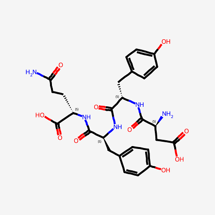 NC(=O)CC[C@H](NC(=O)[C@H](Cc1ccc(O)cc1)NC(=O)[C@H](Cc1ccc(O)cc1)NC(=O)[C@@H](N)CC(=O)O)C(=O)O